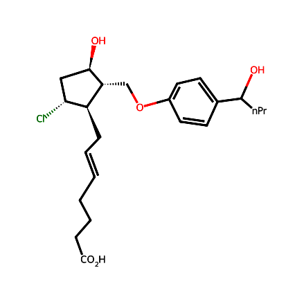 CCCC(O)c1ccc(OC[C@@H]2[C@@H](CC=CCCCC(=O)O)[C@H](Cl)C[C@H]2O)cc1